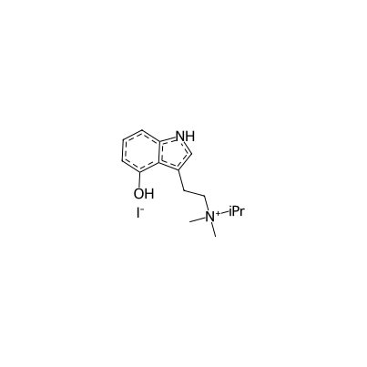 CC(C)[N+](C)(C)CCc1c[nH]c2cccc(O)c12.[I-]